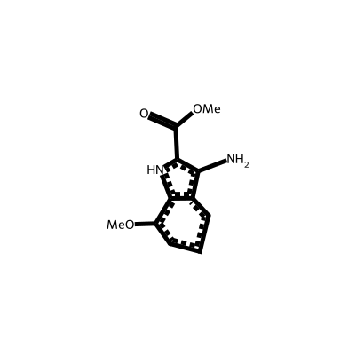 COC(=O)c1[nH]c2c(OC)cccc2c1N